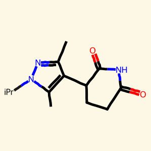 Cc1nn(C(C)C)c(C)c1C1CCC(=O)NC1=O